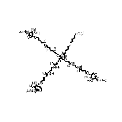 CC(=O)N[C@H]1[C@@H]2OC[C@@](COCCCCC(=O)NCCCNC(=O)CCOCC(COCCC(=O)NCCCNC(=O)CCCCOC[C@@]34CO[C@@H](O3)[C@H](NC(C)=O)[C@@H](O)[C@H]4O)(COCCC(=O)NCCCNC(=O)CCCCOC[C@@]34CO[C@@H](O3)[C@H](NC(C)=O)[C@@H](O)[C@H]4O)NC(=O)CCCCCCCCCCC(=O)O)(O2)[C@H](O)[C@@H]1O